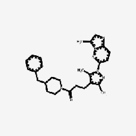 Cc1nn(-c2ccc3ncc(C)n3n2)c(C)c1CCC(=O)N1CCC(Cc2ccccc2)CC1